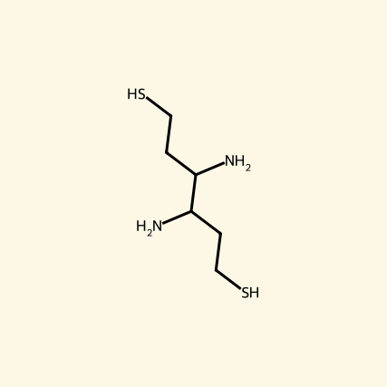 NC(CCS)C(N)CCS